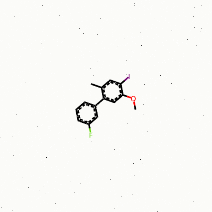 COc1cc(-c2cccc(F)c2)c(C)cc1I